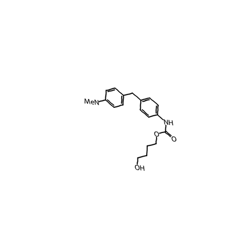 CNc1ccc(Cc2ccc(NC(=O)OCCCCO)cc2)cc1